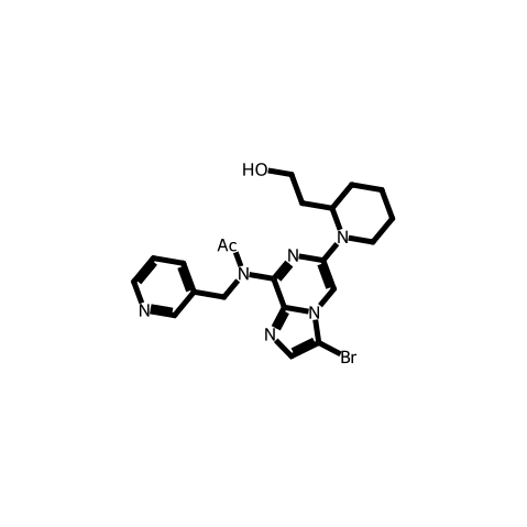 CC(=O)N(Cc1cccnc1)c1nc(N2CCCCC2CCO)cn2c(Br)cnc12